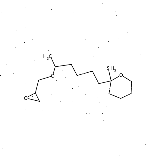 CC(CCCCC1([SiH3])CCCCO1)OCC1CO1